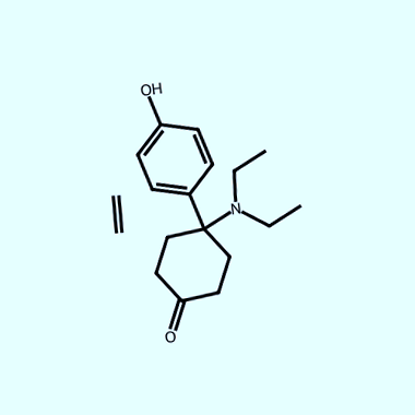 C=C.CCN(CC)C1(c2ccc(O)cc2)CCC(=O)CC1